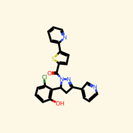 O=C(c1ccc(-c2ccccn2)s1)N1N=C(c2cccnc2)CC1c1c(O)cccc1Cl